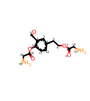 O=Cc1cc(CCOC(=O)CP)ccc1OC(=O)CP